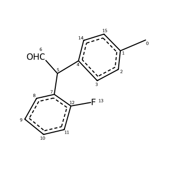 Cc1ccc(C(C=O)c2ccccc2F)cc1